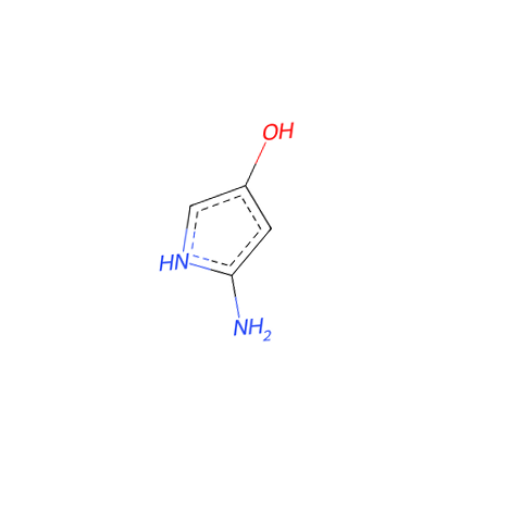 Nc1cc(O)c[nH]1